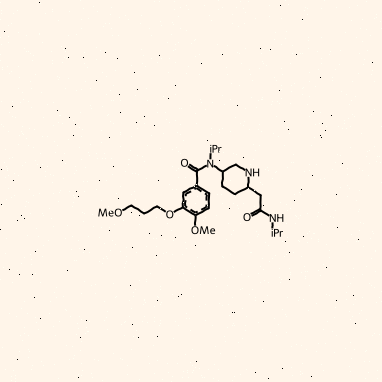 COCCCOc1cc(C(=O)N(C(C)C)C2CCC(CC(=O)NC(C)C)NC2)ccc1OC